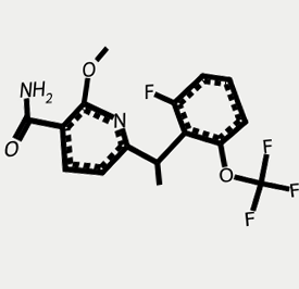 COc1nc(C(C)c2c(F)cccc2OC(F)(F)F)ccc1C(N)=O